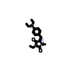 CCN1C(=O)/C(=C\c2ccc(N(CC)CC)cc2)N(C)C1=O